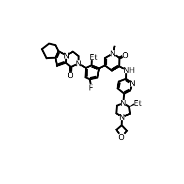 CCc1c(-c2cc(Nc3ccc(N4CCN(C5COC5)C[C@@H]4CC)cn3)c(=O)n(C)c2)cc(F)cc1N1CCn2c(cc3c2CCCC3)C1=O